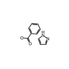 [O]C(=O)c1ccccc1.c1cn[nH]c1